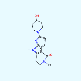 CCN1CCc2c(c3ccc(N4CCC(O)CC4)nc3n2C)C1=O